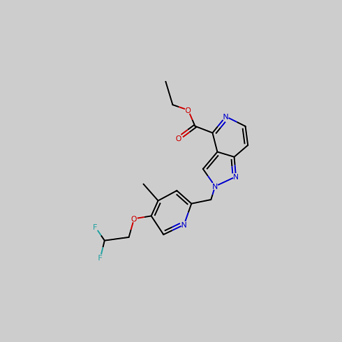 CCOC(=O)c1nccc2nn(Cc3cc(C)c(OCC(F)F)cn3)cc12